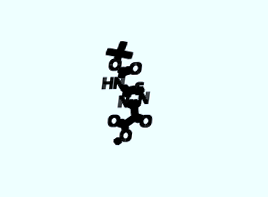 COC(=O)C(=O)c1nsc(NC(=O)OC(C)(C)C)n1